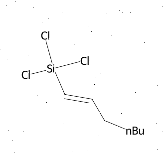 CCCCCC=C[Si](Cl)(Cl)Cl